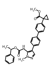 COC(=O)C1(c2ccc(-c3ccc(-c4cnn(C)c4NC(=O)O[C@H](C)c4ccccc4)cc3)cc2)CC1